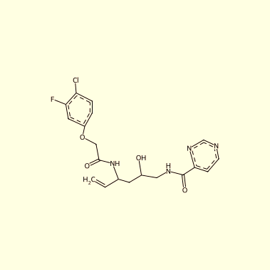 C=CC(CC(O)CNC(=O)c1ccncn1)NC(=O)COc1ccc(Cl)c(F)c1